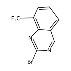 FC(F)(F)c1cccc2cnc(Br)nc12